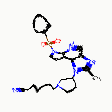 Cc1nc2cnc3c(ccn3S(=O)(=O)c3ccccc3)c2n1C1CCN(CCCCC#N)C1